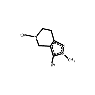 CC(C)c1c2c(nn1C)CCN(C(C)(C)C)C2